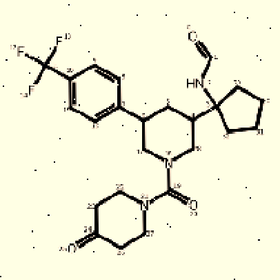 O=CNC1(C2CC(c3ccc(C(F)(F)F)cc3)CN(C(=O)N3CCC(=O)CC3)C2)CCCC1